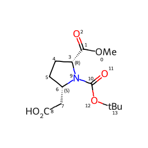 COC(=O)[C@H]1CC[C@@H](CC(=O)O)N1C(=O)OC(C)(C)C